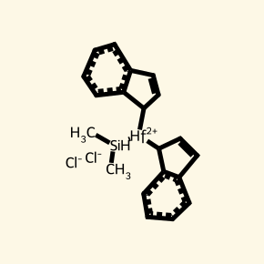 C[SiH](C)[Hf+2]([CH]1C=Cc2ccccc21)[CH]1C=Cc2ccccc21.[Cl-].[Cl-]